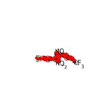 CC(F)(F)CCCOc1ccc(C(=O)Oc2ccc(/C=C/C(=O)OCC(COC(=O)/C=C/c3ccc(OC(=O)c4ccc(OCCCC(F)(F)F)cc4)cc3)(Cc3ccc([N+](=O)[O-])cc3)Cc3ccc([N+](=O)[O-])cc3)cc2)cc1